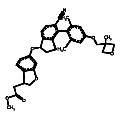 COC(=O)CC1COc2cc(O[C@@H]3CCc4c3ccc(C#N)c4-c3c(C)cc(OCC4(C)COC4)cc3C)ccc21